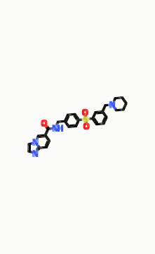 O=C(NCc1ccc(S(=O)(=O)c2cccc(CN3CCCCC3)c2)cc1)c1ccc2nccn2c1